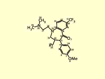 COc1ccc(C2C(=O)c3cc(C(F)(F)F)ccc3N(CCN(C)C)CC2C(C)C)cc1